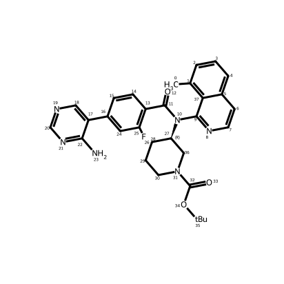 Cc1cccc2ccnc(N(C(=O)c3ccc(-c4cncnc4N)cc3F)[C@@H]3CCCN(C(=O)OC(C)(C)C)C3)c12